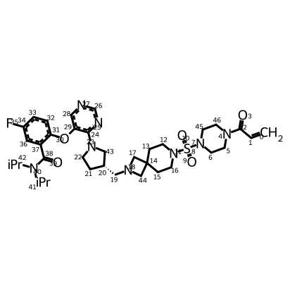 C=CC(=O)N1CCN(S(=O)(=O)N2CCC3(CC2)CN(C[C@@H]2CCN(c4ncncc4Oc4ccc(F)cc4C(=O)N(C(C)C)C(C)C)C2)C3)CC1